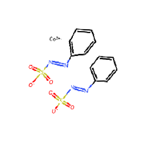 O=S(=O)([O-])N=Nc1ccccc1.O=S(=O)([O-])N=Nc1ccccc1.[Co+2]